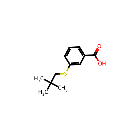 CC(C)(C)CSc1cccc(C(=O)O)c1